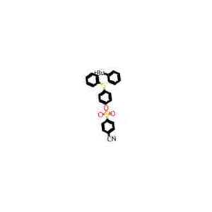 CC(C)(C)c1ccccc1[S+](c1ccccc1)c1ccccc1.N#Cc1ccc(S(=O)(=O)[O-])cc1